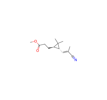 COC(=O)CC[C@@H]1[C@@H](/C=C(\C)C#N)C1(C)C